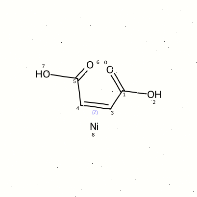 O=C(O)/C=C\C(=O)O.[Ni]